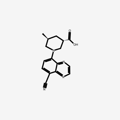 C[C@H]1C[C@H](C(=O)O)CN(c2ccc(C#N)c3nccnc23)C1